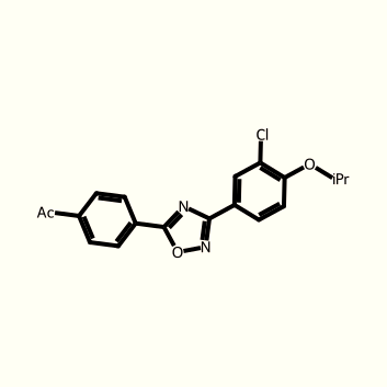 CC(=O)c1ccc(-c2nc(-c3ccc(OC(C)C)c(Cl)c3)no2)cc1